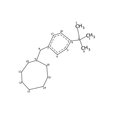 CC(C)(C)c1ccc(C[C]2CCCCCCC2)cc1